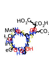 CNC(=O)C[C@@H]1NC(=O)c2csc(n2)-c2ccc(-c3nc(N(CCCCC(=O)O)C(=O)OCCC(CCCCC(=O)O)C(=O)O)cs3)nc2-c2csc(n2)-c2csc(n2)[C@H]([C@@H](O)c2ccccc2)NC(=O)CNC(=O)c2nc(sc2COC)C(C(C)C)NC(=O)c2nc1sc2C